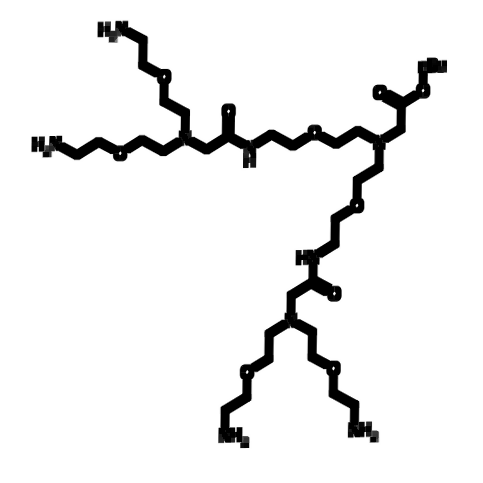 CCCCOC(=O)CN(CCOCCNC(=O)CN(CCOCCN)CCOCCN)CCOCCNC(=O)CN(CCOCCN)CCOCCN